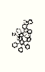 N#Cc1c(-n2c3ccccc3c3c4c(ccc32)oc2ccccc24)c(C#N)c2c(oc3c(-c4ccccc4)c(-c4ccccc4)c(-c4ccccc4)c(-c4ccccc4)c32)c1C#N